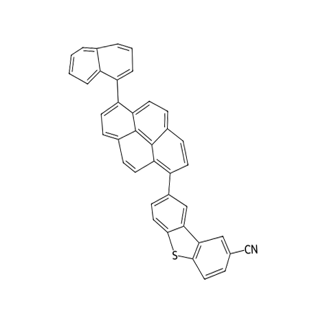 N#Cc1ccc2sc3ccc(-c4ccc5ccc6c(-c7cccc8ccccc78)ccc7ccc4c5c76)cc3c2c1